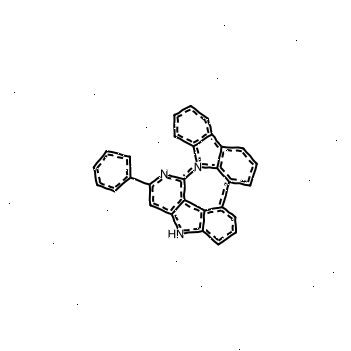 c1ccc(-c2cc3[nH]c4cccc5c6cccc7c8ccccc8n(c(n2)c3c45)c67)cc1